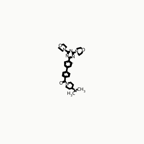 CN(C)C1CCN(C(=O)c2ccc(-c3c[c]c(-c4nc(N5CCOCC5)nc(N5CCOCC5)n4)cc3)cc2)CC1